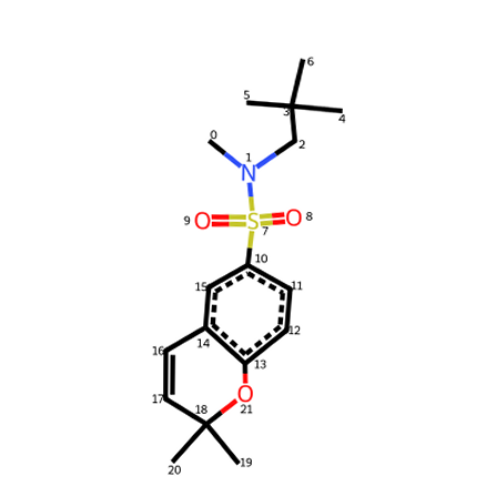 CN(CC(C)(C)C)S(=O)(=O)c1ccc2c(c1)C=CC(C)(C)O2